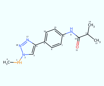 CPn1cc(-c2ccc(NC(=O)C(C)C)cc2)nn1